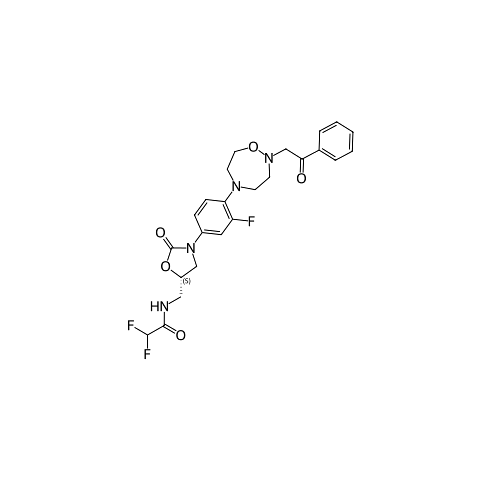 O=C(CN1CCN(c2ccc(N3C[C@H](CNC(=O)C(F)F)OC3=O)cc2F)CCO1)c1ccccc1